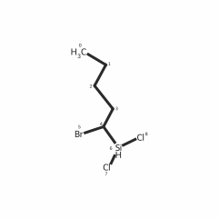 CCCCC(Br)[SiH](Cl)Cl